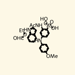 CCOC=O.COc1ccc(Nc2ccc([As](=O)(O)OO)c(NC(C)=O)c2)cc1.c1ccc2[nH]ccc2c1